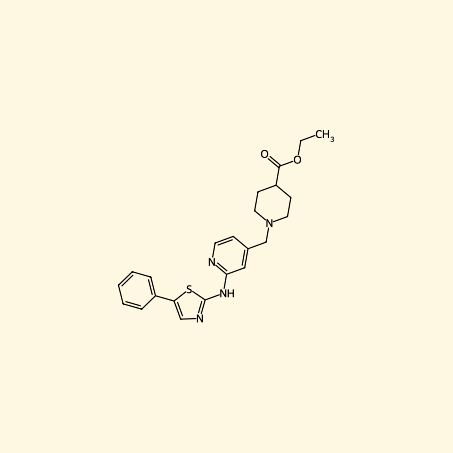 CCOC(=O)C1CCN(Cc2ccnc(Nc3ncc(-c4ccccc4)s3)c2)CC1